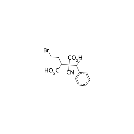 CC(c1ccccc1)C(C#N)(C(=O)O)C(CCBr)C(=O)O